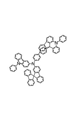 c1ccc(N2c3ccccc3C3(c4ccccc4)c4cc(-c5ccc(N(c6ccc7c(c6)C6(c8ccccc8-c8ccccc86)c6ccccc6-7)c6ccc7c(c6)c6ccccc6n7-c6ccccc6)cc5)ccc4-c4cccc2c43)cc1